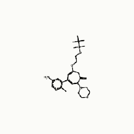 C=C1CC(OCCO[Si](C)(C)C(C)(C)C)=CC(c2cc(N)cnc2C)=CC1N1CCOCC1